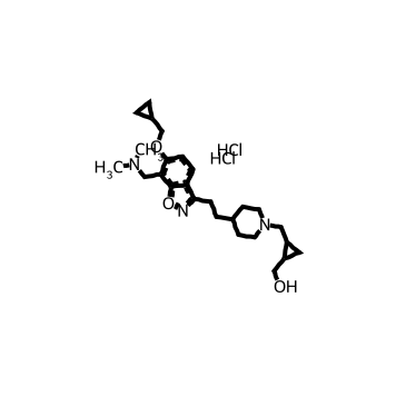 CN(C)Cc1c(OCC2CC2)ccc2c(CCC3CCN(CC4CC4CO)CC3)noc12.Cl.Cl